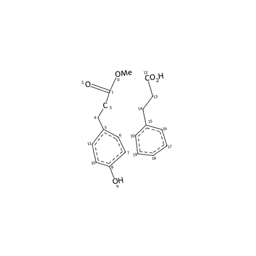 COC(=O)CCc1ccc(O)cc1.O=C(O)CCc1ccccc1